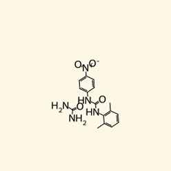 Cc1cccc(C)c1NC(=O)Nc1ccc([N+](=O)[O-])cc1.NC(N)=O